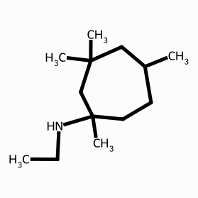 CCNC1(C)CCC(C)CC(C)(C)C1